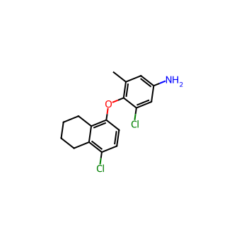 Cc1cc(N)cc(Cl)c1Oc1ccc(Cl)c2c1CCCC2